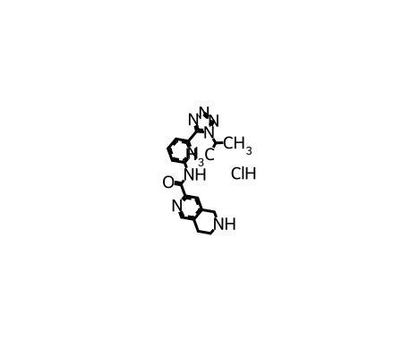 CC(C)n1nnnc1-c1cccc(NC(=O)c2cc3c(cn2)CCNC3)n1.Cl